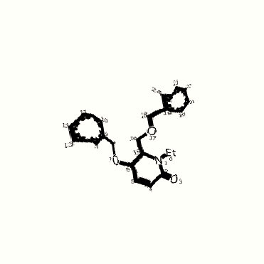 CCN1C(=O)C=CC(OCc2ccccc2)C1COCc1ccccc1